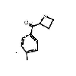 Cc1ccc(C(=O)C2CCC2)cc1